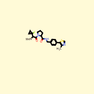 CNC(C(=O)N1CCCC1C(=O)NCc1ccc(-c2scnc2C)cc1)C1(F)CC1